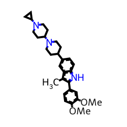 COc1ccc(-c2[nH]c3ccc(C4CCN(C5CCN(C6CC6)CC5)CC4)cc3c2C)cc1OC